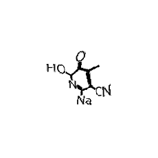 CC1=C(C#N)[C]([Na])=NC(O)C1=O